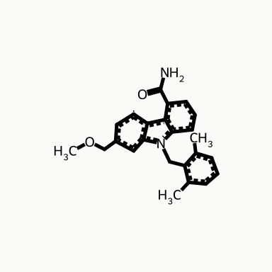 COCc1c[c]c2c3c(C(N)=O)cccc3n(Cc3c(C)cccc3C)c2c1